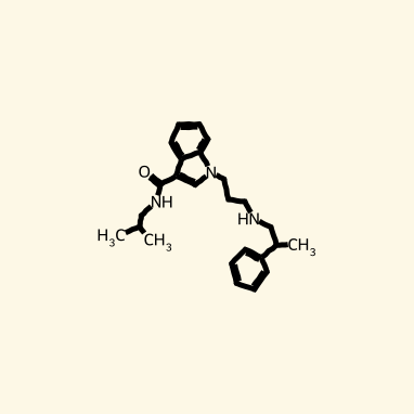 CC(C)CNC(=O)c1cn(CCCNCC(C)c2ccccc2)c2ccccc12